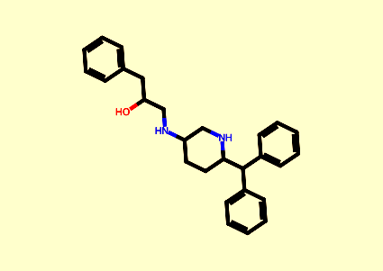 OC(CNC1CCC(C(c2ccccc2)c2ccccc2)NC1)Cc1ccccc1